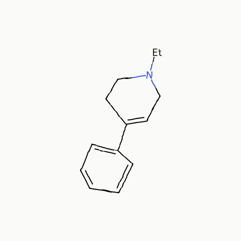 [CH2]CN1CC=C(c2ccccc2)CC1